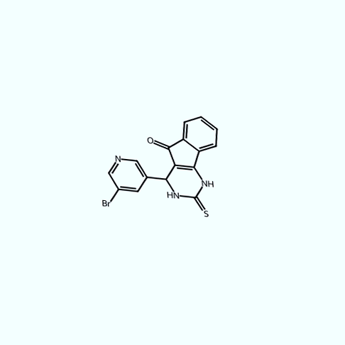 O=C1C2=C(NC(=S)NC2c2cncc(Br)c2)c2ccccc21